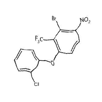 O=[N+]([O-])c1ccc(Oc2ccccc2Cl)c(C(F)(F)F)c1Br